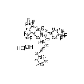 Cl.Cl.O=C(c1cc(C(F)(F)F)cc(C(F)(F)F)c1)N1CCN(CC#CCN2CCSCC2)C[C@H]1Cc1ccc(C(F)(F)F)cc1